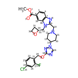 COC(=O)c1ccc2nc(CN3CCC(n4cnc(OCc5ccc(Cl)cc5F)n4)CC3)n(C[C@@H]3CCO3)c2c1